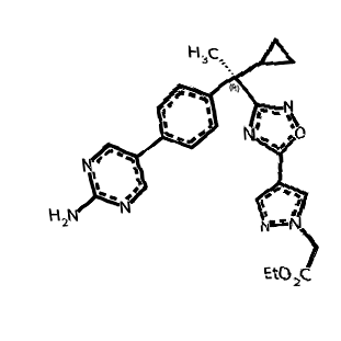 CCOC(=O)Cn1cc(-c2nc([C@@](C)(c3ccc(-c4cnc(N)nc4)cc3)C3CC3)no2)cn1